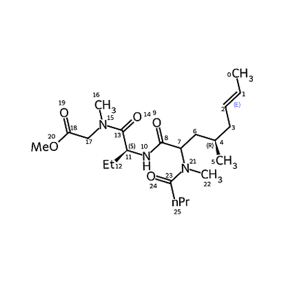 C/C=C/C[C@@H](C)CC(C(=O)N[C@@H](CC)C(=O)N(C)CC(=O)OC)N(C)C(=O)CCC